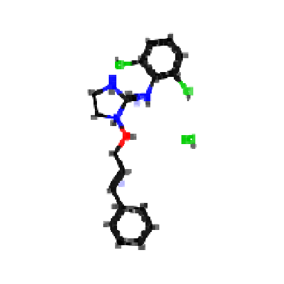 Cl.Clc1cccc(Cl)c1/N=C1\NCCN1OC/C=C/c1ccccc1